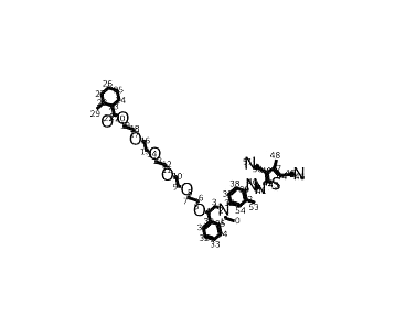 CCN(CC(OCCOCCOCCOCCOCCOC(=O)C1CCCCC1C)c1ccccc1)c1ccc(/N=N/c2sc(C#N)c(C)c2C#N)c(C)c1